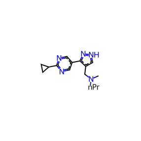 CCCN(C)Cc1c[nH]nc1-c1cnc(C2CC2)nc1